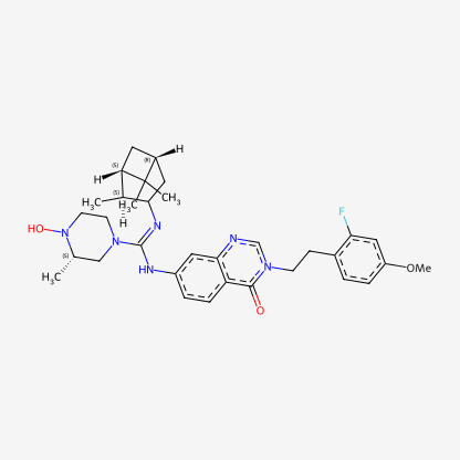 COc1ccc(CCn2cnc3cc(NC(=NC4C[C@H]5C[C@@H]([C@@H]4C)C5(C)C)N4CCN(O)[C@@H](C)C4)ccc3c2=O)c(F)c1